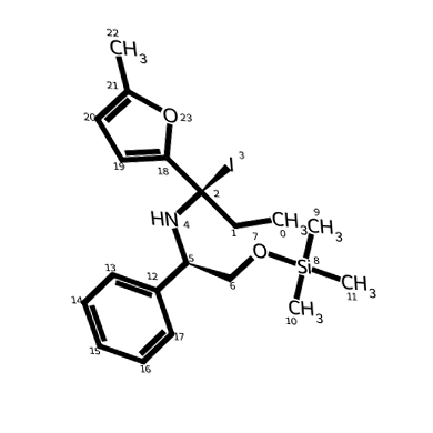 CC[C@](I)(N[C@@H](CO[Si](C)(C)C)c1ccccc1)c1ccc(C)o1